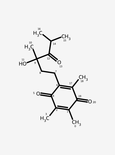 CC1=C(C)C(=O)C(CCC(C)(O)C(=O)C(C)C)=C(C)C1=O